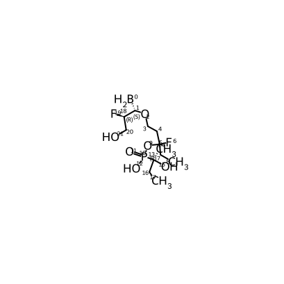 B[C@H](OCCC(F)(CC)OP(=O)(O)[C@@](C)(O)CC)[C@H](F)CO